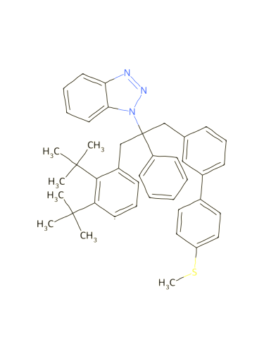 CSc1ccc(-c2cccc(CC(Cc3cc[c]c(C(C)(C)C)c3C(C)(C)C)(c3ccccc3)n3nnc4ccccc43)c2)cc1